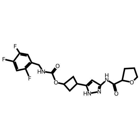 O=C(NCc1cc(F)c(F)cc1F)OC1CC(c2cc(NC(=O)C3CCCO3)n[nH]2)C1